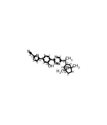 CN(c1cnc(-c2ccc(-c3csc(C#N)n3)cc2O)nn1)[C@H]1C[C@]2(C)CC[C@](C)(C1)N2